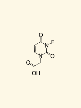 O=C(O)Cn1ccc(=O)n(F)c1=O